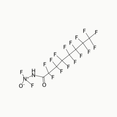 O=C(N[N+]([O-])(F)F)C(F)(F)C(F)(F)C(F)(F)C(F)(F)C(F)(F)C(F)(F)C(F)(F)F